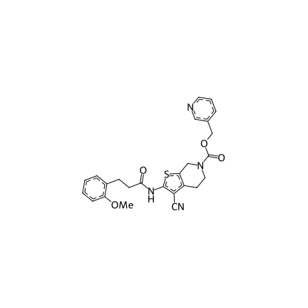 COc1ccccc1CCC(=O)Nc1sc2c(c1C#N)CCN(C(=O)OCc1cccnc1)C2